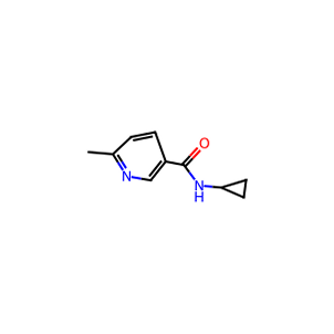 Cc1ccc(C(=O)NC2CC2)cn1